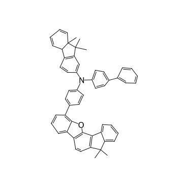 CC1(C)c2ccccc2-c2c1ccc1c2oc2c(-c3ccc(N(c4ccc(-c5ccccc5)cc4)c4ccc5c(c4)C(C)(C)C4(C)C=CC=CC54)cc3)cccc21